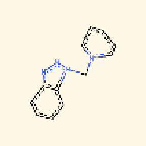 c1cc[n+](Cn2nnc3ccccc32)cc1